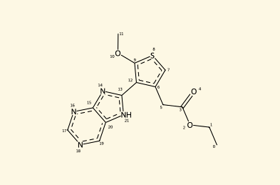 CCOC(=O)Cc1csc(OC)c1-c1nc2ncncc2[nH]1